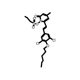 CCCCCCOc1c(Cl)cc(C=Cc2cc(C)cc(=O)n2OS(=O)(=O)CCC)cc1Cl